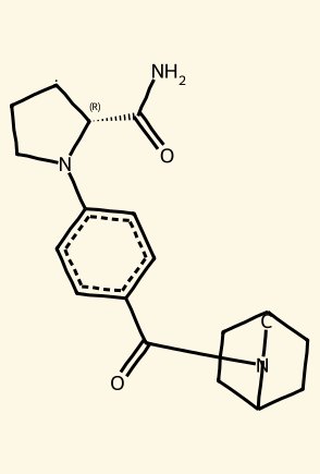 NC(=O)[C@H]1[CH]CCN1c1ccc(C(=O)N2CC3CCC(CC3)C2)cc1